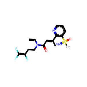 C=CN(CCC(F)=C(F)F)C(=O)/C=C(\C)c1ncccc1S(=N)(=O)CC